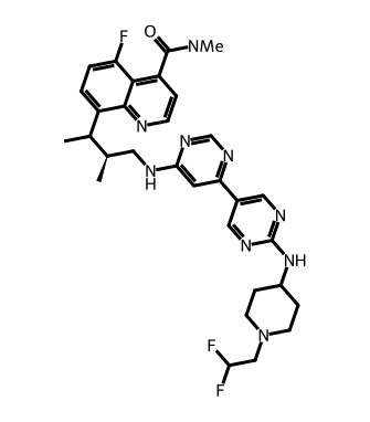 CNC(=O)c1ccnc2c(C(C)[C@H](C)CNc3cc(-c4cnc(NC5CCN(CC(F)F)CC5)nc4)ncn3)ccc(F)c12